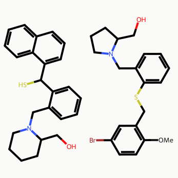 COc1ccc(Br)cc1CSc1ccccc1CN1CCCC1CO.OCC1CCCCN1Cc1ccccc1C(S)c1cccc2ccccc12